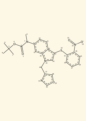 CN(C(=O)OC(C)(C)C)c1ccc2c(Sc3ccccc3[N+](=O)[O-])cn(Cc3cocn3)c2c1